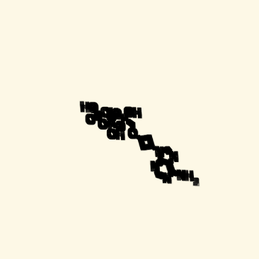 Nc1ncnc2c1ncn2[C@H]1C[C@@H](OCP(=O)(O)OP(=O)(O)OP(=O)(O)O)C1